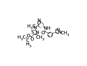 Cc1nc(N(C)C(=O)C[C@H](CC#N)NC(=O)c2cccc(-c3cnn(C)c3)c2)sc1C(=O)OC(C)C